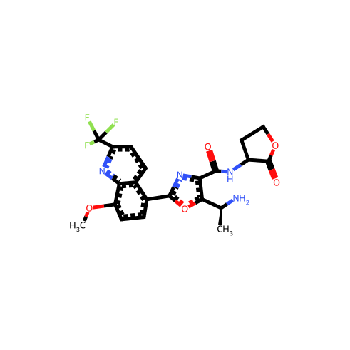 COc1ccc(-c2nc(C(=O)NC3CCOC3=O)c([C@H](C)N)o2)c2ccc(C(F)(F)F)nc12